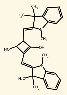 CN1C(=CC2=C(O)C(C=C3N(C)c4ccccc4C3(C)C)C2O)C(C)(C)c2ccccc21